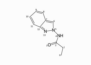 CCC(=O)Nn1cc2ccccc2n1